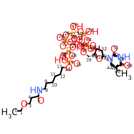 CCOCCC(=O)NCCCCCCOP(=O)(O)OP(=O)(O)OP(=O)(O)OP(=O)(O)OP(=O)(O)OP(=O)(O)OC[C@H]1O[C@@H](n2cc(C)c(=O)[nH]c2=O)CC1O